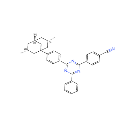 C[C@@H]1C[C@@H]2C[C@H](C)CC(c3ccc(-c4nc(-c5ccccc5)nc(-c5ccc(C#N)cc5)n4)cc3)(C1)C2